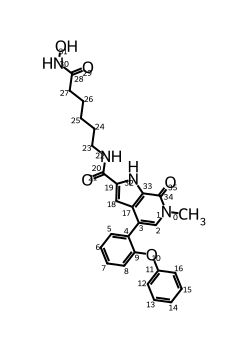 Cn1cc(-c2ccccc2Oc2ccccc2)c2cc(C(=O)NCCCCCC(=O)NO)[nH]c2c1=O